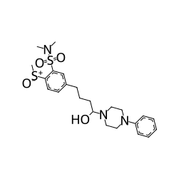 CN(C)S(=O)(=O)c1cc(CCCC(O)N2CCN(c3ccccc3)CC2)ccc1[S+](C)[O-]